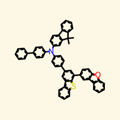 CC1(C)c2ccccc2-c2ccc(N(c3ccc(-c4ccccc4)cc3)c3ccc(-c4cc(-c5ccc6oc7ccccc7c6c5)c5sc6ccccc6c5c4)cc3)cc21